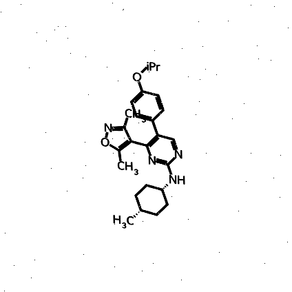 Cc1noc(C)c1-c1nc(N[C@H]2CC[C@@H](C)CC2)ncc1-c1ccc(OC(C)C)cc1